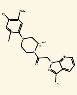 COc1cc(N2CCN(C(=O)Cn3nc(C#N)c4cccnc43)[C@@H](C)C2)c(F)cc1Cl